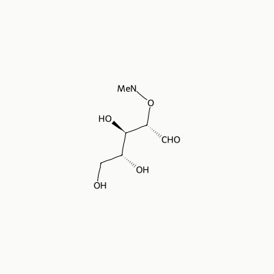 CNO[C@H](C=O)[C@H](O)[C@H](O)CO